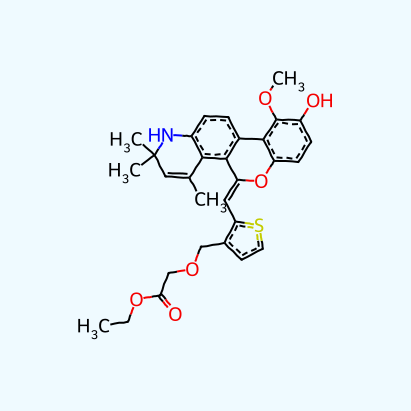 CCOC(=O)COCc1ccsc1/C=C1\Oc2ccc(O)c(OC)c2-c2ccc3c(c21)C(C)=CC(C)(C)N3